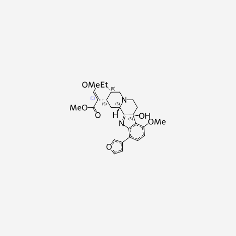 CC[C@@H]1CN2CC[C@@]3(O)C(=Nc4c(-c5ccoc5)ccc(OC)c43)[C@@H]2C[C@@H]1/C(=C\OC)C(=O)OC